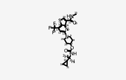 [2H]C([2H])(NC(=O)OC1CCN(c2cc(C(F)(F)F)c3scc(C(=O)NC)c3n2)CC1)C1CC1